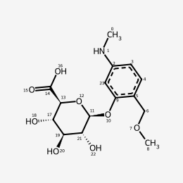 CNc1ccc(COC)c(O[C@@H]2O[C@H](C(=O)O)[C@@H](O)[C@H](O)[C@H]2O)c1